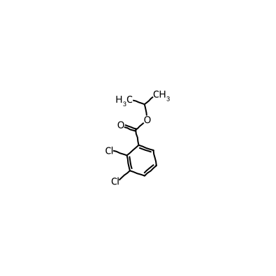 CC(C)OC(=O)c1cccc(Cl)c1Cl